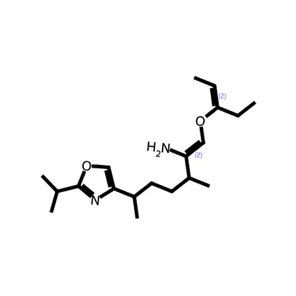 C/C=C(/CC)O/C=C(\N)C(C)CCC(C)c1coc(C(C)C)n1